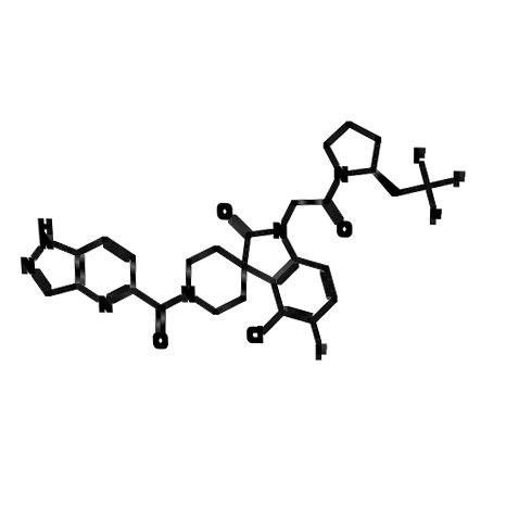 O=C(c1ccc2[nH]ncc2n1)N1CCC2(CC1)C(=O)N(CC(=O)N1CCC[C@H]1CC(F)(F)F)c1ccc(F)c(Cl)c12